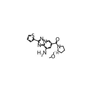 COC[C@H]1CCCN1C(=O)c1cc(N)c2nc(-c3cccs3)nn2c1